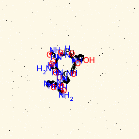 CC[C@H](C)[C@@H]1NC(=O)[C@H](Cc2ccc(O)cc2)NC(=O)CCC(=O)NC[C@@H](C(=O)N2CCC[C@H]2C(=O)N[C@@H](Cc2cnc[nH]2)C(=O)NCC(N)=O)NC(=O)[C@H](CC(N)=O)NC(=O)[C@H](CCC(N)=O)NC1=O